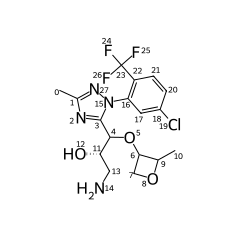 Cc1nc(C(OC2COC2C)[C@@H](O)CN)n(-c2cc(Cl)ccc2C(F)(F)F)n1